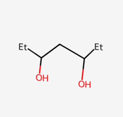 [CH2]CC(O)CC(O)CC